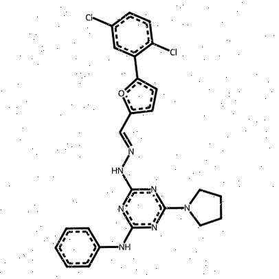 Clc1ccc(Cl)c(-c2ccc(/C=N/Nc3nc(Nc4ccccc4)nc(N4CCCC4)n3)o2)c1